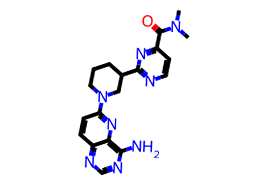 CN(C)C(=O)c1ccnc(C2CCCN(c3ccc4ncnc(N)c4n3)C2)n1